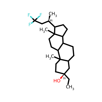 CC[C@]1(O)CCC2(C)C(CCC3C2CCC2(C)C3CCC2[C@H](C)CC(F)(F)F)C1